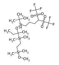 CCC(C)(O[SiH](CCCC(S(=O)(=O)C(F)(F)F)S(=O)(=O)C(F)(F)F)C(C)(C)C)[Si](C)(C)CC[Si](C)(C)OC